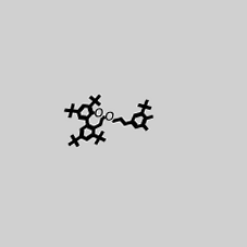 Cc1cc(CCCOC2Cc3c(cc(C(C)(C)C)cc3C(C)(C)C)-c3cc(C(C)(C)C)cc(C(C)(C)C)c3O2)cc(C(C)(C)C)c1C